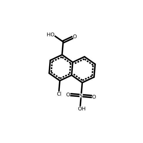 O=C(O)c1ccc(Cl)c2c(S(=O)(=O)O)cccc12